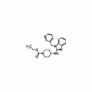 CCOC(=O)N1CCC(Nc2nc3ccccc3n2Cc2cccnc2)CC1